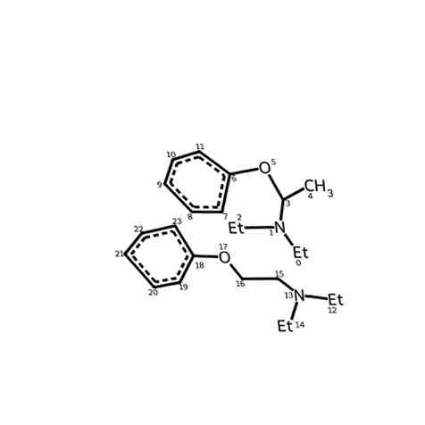 CCN(CC)C(C)Oc1ccccc1.CCN(CC)CCOc1ccccc1